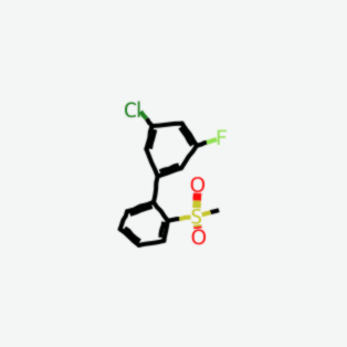 CS(=O)(=O)c1ccccc1-c1cc(F)cc(Cl)c1